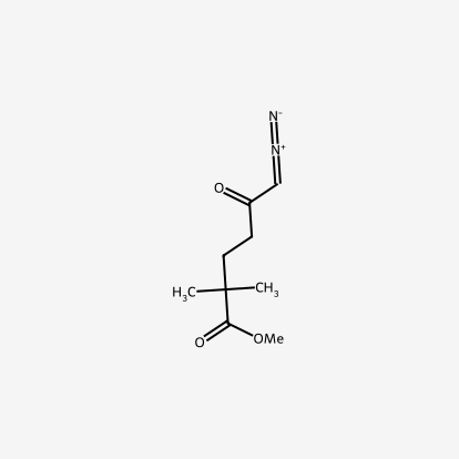 COC(=O)C(C)(C)CCC(=O)C=[N+]=[N-]